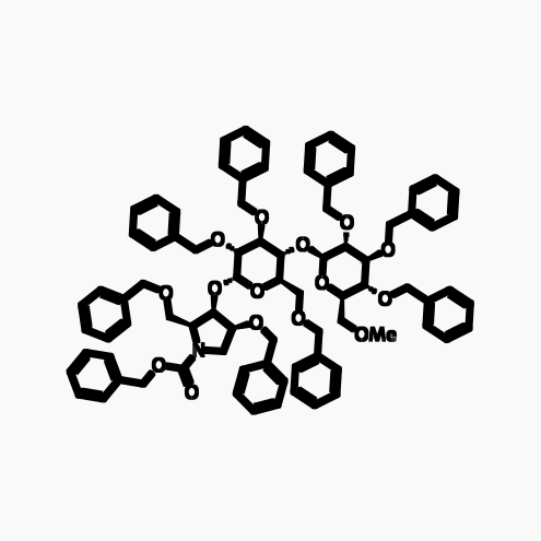 COC[C@H]1O[C@@H](O[C@H]2[C@H](OCc3ccccc3)[C@@H](OCc3ccccc3)[C@@H](O[C@H]3[C@@H](OCc4ccccc4)CN(C(=O)OCc4ccccc4)[C@H]3COCc3ccccc3)O[C@@H]2COCc2ccccc2)[C@H](OCc2ccccc2)[C@@H](OCc2ccccc2)[C@@H]1OCc1ccccc1